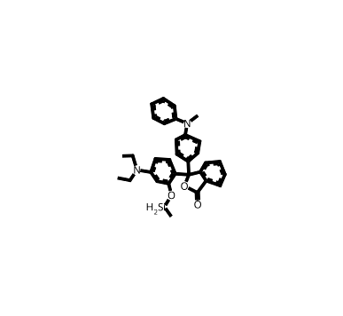 CCN(CC)c1ccc(C2(c3ccc(N(C)c4ccccc4)cc3)OC(=O)c3ccccc32)c(O[SiH2]C)c1